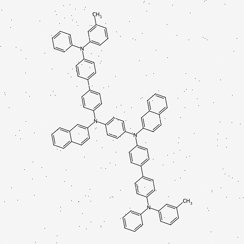 Cc1cccc(N(c2ccccc2)c2ccc(-c3ccc(N(c4ccc(N(c5ccc(-c6ccc(N(c7ccccc7)c7cccc(C)c7)cc6)cc5)c5ccc6ccccc6c5)cc4)c4ccc5ccccc5c4)cc3)cc2)c1